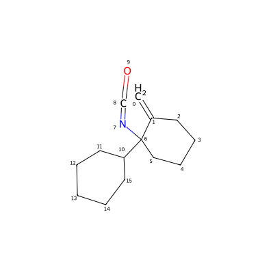 C=C1CCCCC1(N=C=O)C1CCCCC1